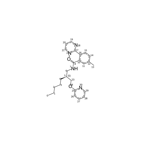 CCCCC[C@@H](CNC(=O)c1cc(C)ccc1-c1ncccn1)COc1ccccn1